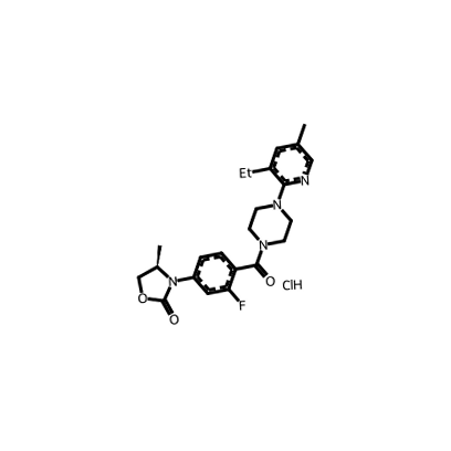 CCc1cc(C)cnc1N1CCN(C(=O)c2ccc(N3C(=O)OC[C@H]3C)cc2F)CC1.Cl